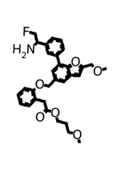 COCCCOC(=O)Cc1ccccc1OCc1cc(-c2cccc(C(N)CF)c2)c2oc(COC)cc2c1